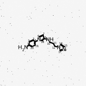 Nc1ccc(-n2ccc(NCCCn3ccnc3)c2)cc1